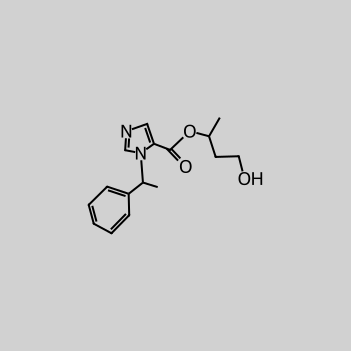 CC(CCO)OC(=O)c1cncn1C(C)c1ccccc1